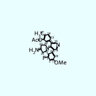 COc1cc(F)cc(-c2cncc(-c3ccc(C)c(OC(C)=O)c3)c2N2CCC(N)CC2)c1